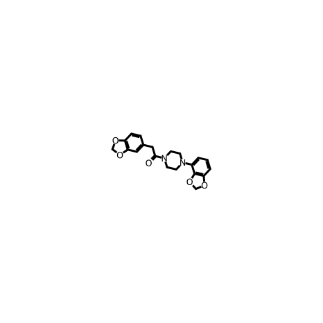 O=C(Cc1ccc2c(c1)OCO2)N1CCN(c2cccc3c2OCO3)CC1